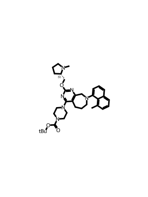 Cc1cccc2cccc(N3CCCc4c(nc(OC[C@@H]5CCCN5C)nc4N4CCN(C(=O)OC(C)(C)C)CC4)C3)c12